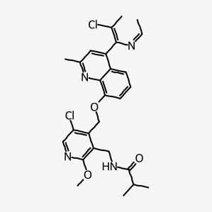 C/C=N\C(=C(/C)Cl)c1cc(C)nc2c(OCc3c(Cl)cnc(OC)c3CNC(=O)C(C)C)cccc12